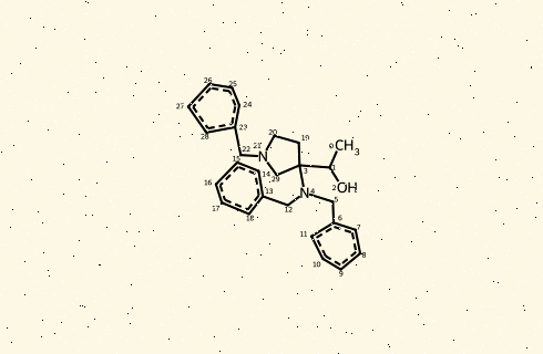 CC(O)C1(N(Cc2ccccc2)Cc2ccccc2)CCN(Cc2ccccc2)C1